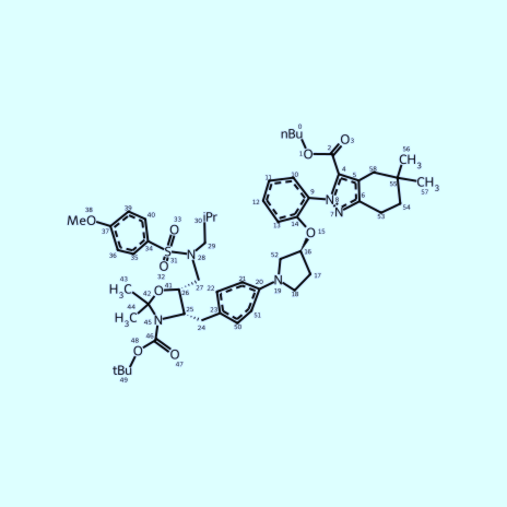 CCCCOC(=O)c1c2c(nn1-c1ccccc1O[C@H]1CCN(c3ccc(C[C@H]4[C@@H](CN(CC(C)C)S(=O)(=O)c5ccc(OC)cc5)OC(C)(C)N4C(=O)OC(C)(C)C)cc3)C1)CCC(C)(C)C2